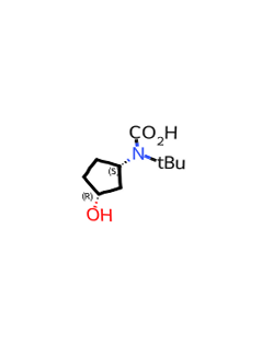 CC(C)(C)N(C(=O)O)[C@H]1CC[C@@H](O)C1